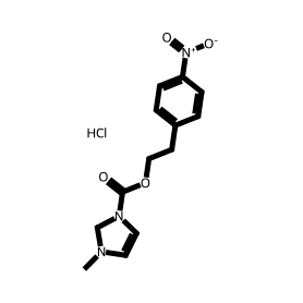 CN1C=CN(C(=O)OCCc2ccc([N+](=O)[O-])cc2)C1.Cl